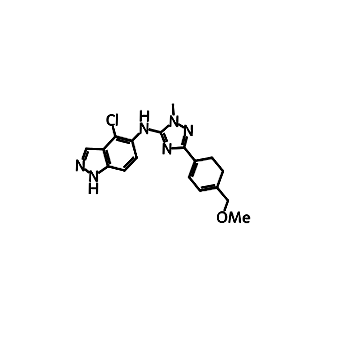 COCC1=CC=C(c2nc(Nc3ccc4[nH]ncc4c3Cl)n(C)n2)CC1